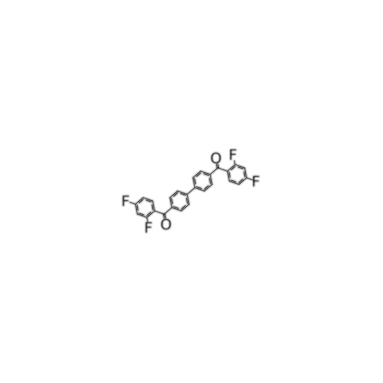 O=C(c1ccc(-c2ccc(C(=O)c3ccc(F)cc3F)cc2)cc1)c1ccc(F)cc1F